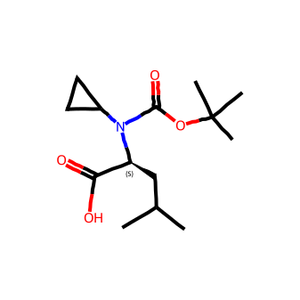 CC(C)C[C@@H](C(=O)O)N(C(=O)OC(C)(C)C)C1CC1